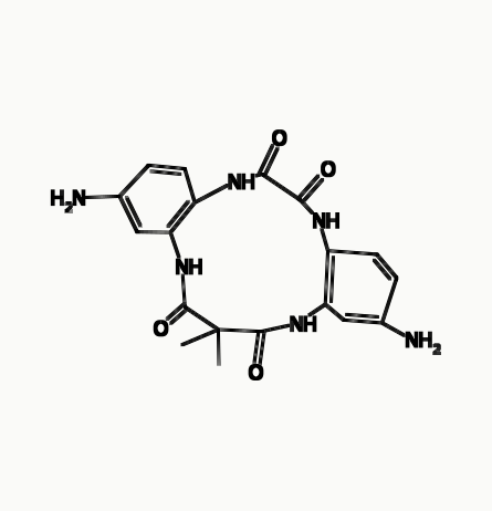 CC1(C)C(=O)Nc2cc(N)ccc2NC(=O)C(=O)Nc2ccc(N)cc2NC1=O